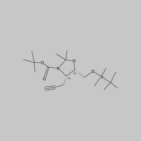 C#CC[C@H]1[C@@H](CO[Si](C)(C)C(C)(C)C)OC(C)(C)N1C(=O)OC(C)(C)C